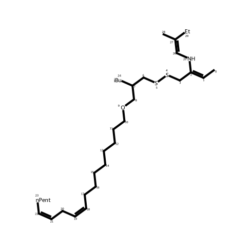 C/C=C(/CSSCC(COCCCCCCCC/C=C\C/C=C\CCCCC)C(C)CC)N/C=C(/C)CC